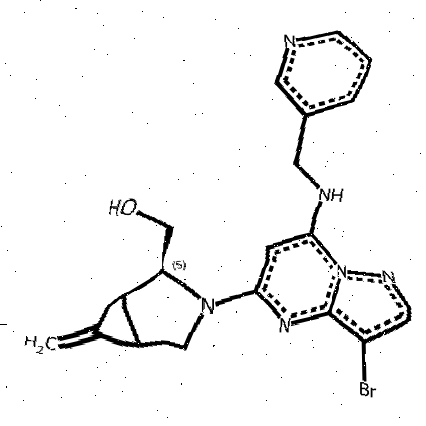 C=C1C2CN(c3cc(NCc4cccnc4)n4ncc(Br)c4n3)[C@H](CO)C12